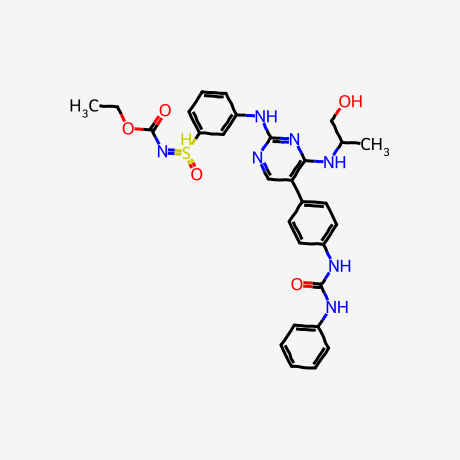 CCOC(=O)/N=[SH](=O)\c1cccc(Nc2ncc(-c3ccc(NC(=O)Nc4ccccc4)cc3)c(NC(C)CO)n2)c1